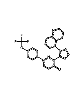 O=c1ccn(-c2ccc(OC(F)(F)F)cc2)nc1-c1ccnn1-c1cccc2ncccc12